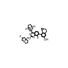 Oc1cc2c(c(-c3ccc4c(N5C[C@H]6CC[C@@H](C5)N6)nc(OC[C@@]56CCCN5C[C@H](F)C6)nc4c3F)c1)C1CC1CC2